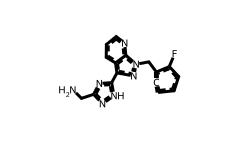 NCc1n[nH]c(-c2nn(Cc3ccccc3F)c3ncccc23)n1